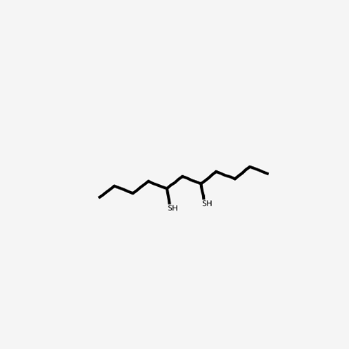 CCCCC(S)CC(S)CCCC